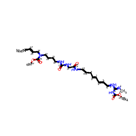 CN=C(NCCCCCCCCNC(=O)CNC(=O)NCCCCN(CCCNC)C(=O)OC(C)(C)C)NC(=O)OC(C)(C)C